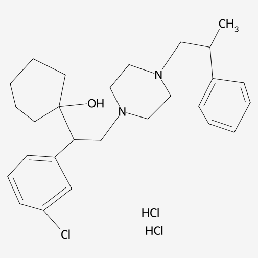 CC(CN1CCN(CC(c2cccc(Cl)c2)C2(O)CCCCC2)CC1)c1ccccc1.Cl.Cl